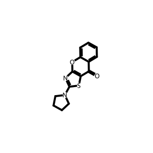 O=c1c2ccccc2oc2nc(N3CCCC3)sc12